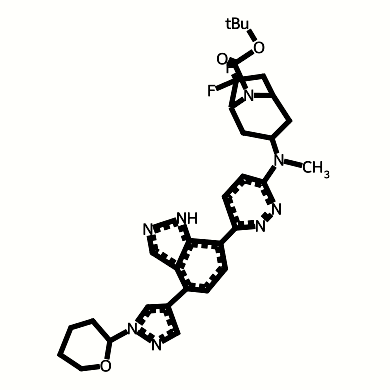 CN(c1ccc(-c2ccc(-c3cnn(C4CCCCO4)c3)c3cn[nH]c23)nn1)C1CC2CC(F)(F)C(C1)N2C(=O)OC(C)(C)C